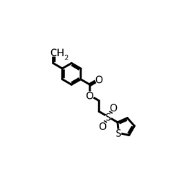 C=Cc1ccc(C(=O)OCCS(=O)(=O)c2cccs2)cc1